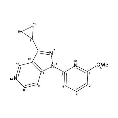 COc1cccc(-n2nc(C3CC3)c3cnccc32)n1